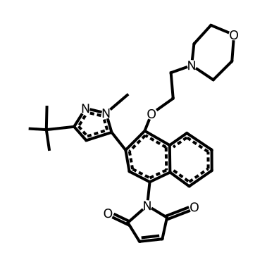 Cn1nc(C(C)(C)C)cc1-c1cc(N2C(=O)C=CC2=O)c2ccccc2c1OCCN1CCOCC1